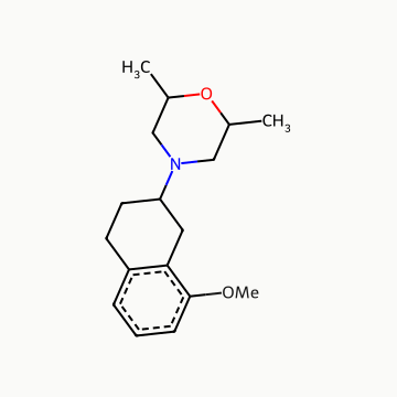 COc1cccc2c1CC(N1CC(C)OC(C)C1)CC2